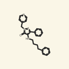 O=c1c(NCCCCc2ccccc2)c(-c2ccccc2)sn1Cc1ccncc1